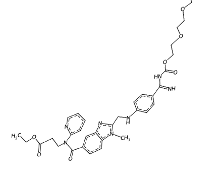 CCOCCOCCOC(=O)NC(=N)c1ccc(NCc2nc3cc(C(=O)N(CCC(=O)OCC)c4ccccn4)ccc3n2C)cc1